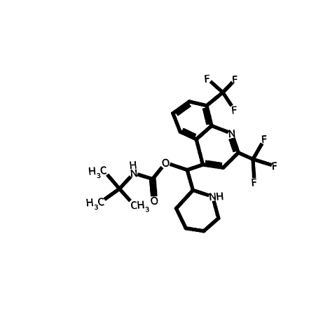 CC(C)(C)NC(=O)OC(c1cc(C(F)(F)F)nc2c(C(F)(F)F)cccc12)C1CCCCN1